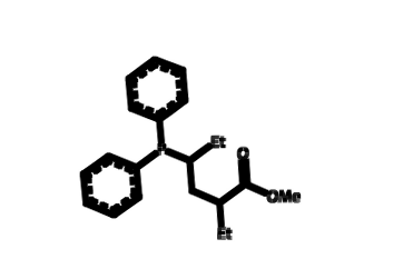 CCC(CC(CC)P(c1ccccc1)c1ccccc1)C(=O)OC